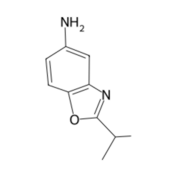 CC(C)c1nc2cc(N)ccc2o1